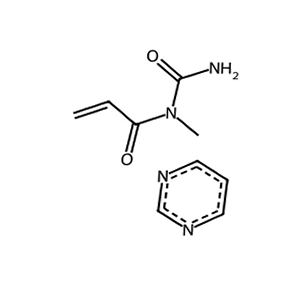 C=CC(=O)N(C)C(N)=O.c1cncnc1